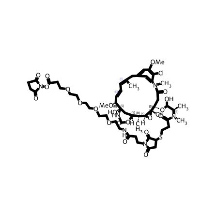 COc1cc2cc(c1Cl)N(C)C(=O)C[C@H](OC(O)[C@@H](C)N(C)C(=O)CCSC1CC(=O)N(CCC(=O)NCCOCCOCCOCCOCCC(=O)ON3C(=O)CCC3=O)C1=O)[C@]1(C)O[C@H]1[C@H](C)[C@@H]1C[C@@](O)(NC(=O)O1)[C@H](OC)/C=C/C=C(\C)C2